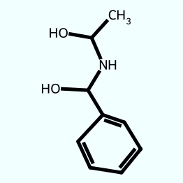 CC(O)NC(O)c1ccccc1